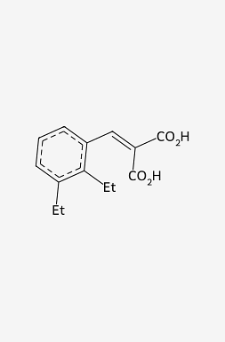 CCc1cccc(C=C(C(=O)O)C(=O)O)c1CC